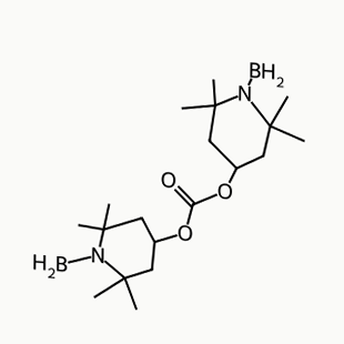 BN1C(C)(C)CC(OC(=O)OC2CC(C)(C)N(B)C(C)(C)C2)CC1(C)C